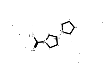 O=C(O)N1CC[C@@H](N2CCCC2)C1